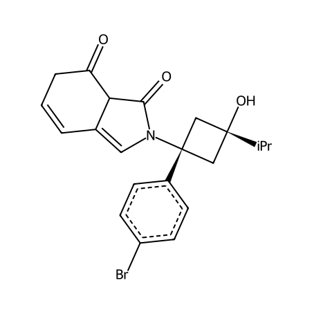 CC(C)[C@]1(O)C[C@@](c2ccc(Br)cc2)(N2C=C3C=CCC(=O)C3C2=O)C1